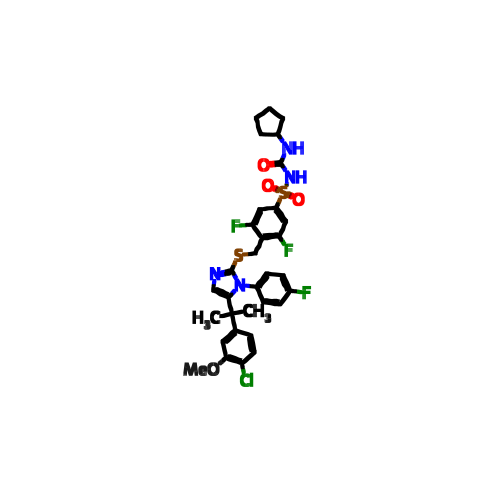 COc1cc(C(C)(C)c2cnc(SCc3c(F)cc(S(=O)(=O)NC(=O)NC4CCCC4)cc3F)n2-c2ccc(F)cc2)ccc1Cl